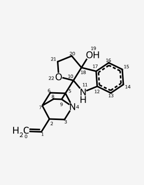 C=CC1CN2CCC1CC2C12Nc3ccccc3C1(O)CCO2